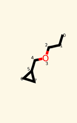 [CH2]CCOCC1CC1